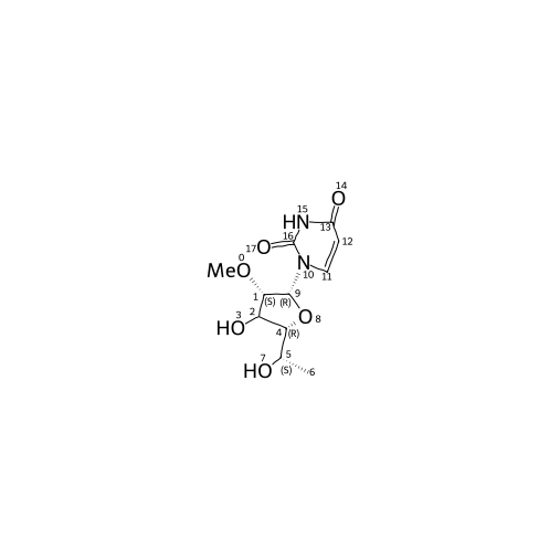 CO[C@H]1C(O)[C@@H]([C@H](C)O)O[C@H]1n1ccc(=O)[nH]c1=O